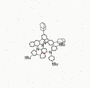 CC(C)(C)c1ccc(N(c2ccc(C(C)(C)C)cc2)c2ccc3c(c2)B2c4c(cc5ccccc5c4N3c3ccc(C(C)(C)C)cc3-c3ccccc3)-c3cc(C45CC6CC(CC(C6)C4)C5)cc4c5cc(C67CC8CC(CC(C8)C6)C7)ccc5n2c34)cc1